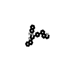 c1ccc2cc3c(cc2c1)nc1c2sc4c5ccccc5ccc4c2cc(-c2ccc(-c4cccc5c4ccc4cccnc45)cc2)n31